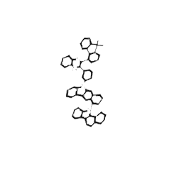 CC1(C)c2ccccc2-c2c(-c3nc4ccccc4nc3-c3cccc(-n4c5ccccc5c5cc6c(-n7c8ccccc8c8ccc9ccccc9c87)cccc6cc54)c3)cccc21